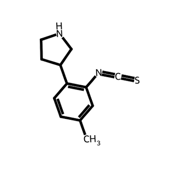 Cc1ccc(C2CCNC2)c(N=C=S)c1